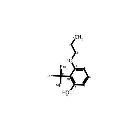 CCCOc1cccc(C)c1C(F)(F)F